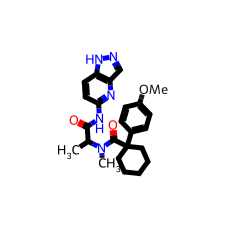 COc1ccc(C2(C(=O)N(C)C(C)C(=O)Nc3ccc4[nH]ncc4n3)CCCCC2)cc1